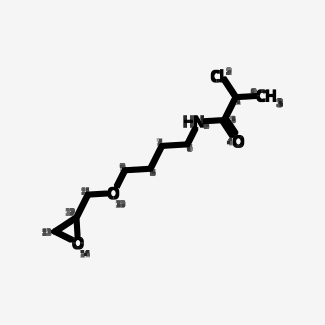 CC(Cl)C(=O)NCCCCOCC1CO1